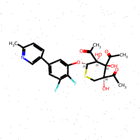 CC(=O)[C@]1(O)[C@@](O)(C(C)=O)CS[C@H](Oc2cc(-c3ccc(C)nc3)cc(F)c2F)[C@@]1(O)C(C)=O